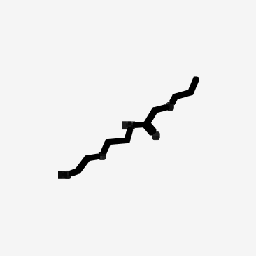 CCCOCC(=O)NCCOCCO